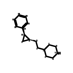 [CH](CC1CCNCC1)[C@@H]1C[C@H]1c1ccccc1